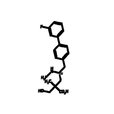 CC(CO)(C[C@@H](Cc1ccc(-c2cccc(F)c2)cc1)NP)C(=O)O